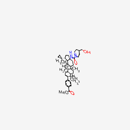 COC(=O)c1ccc(C2=CC[C@]3(C)C4CC[C@@H]5C6[C@H](C7(C)CC7)CC[C@]6(NC(=O)N6CCC(CO)CC6)CC[C@@]5(C)[C@]4(C)CC[C@H]3C2(C)C)cc1